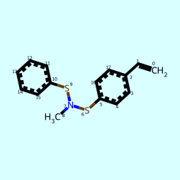 C=Cc1ccc(SN(C)Sc2ccccc2)cc1